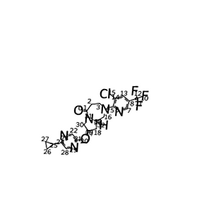 O=C1CCN(c2ncc(C(F)(F)F)cc2Cl)C[C@H]2C[C@@H](Oc3cnc(C4CC4)cn3)CN12